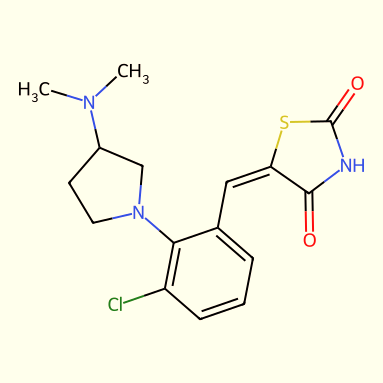 CN(C)C1CCN(c2c(Cl)cccc2C=C2SC(=O)NC2=O)C1